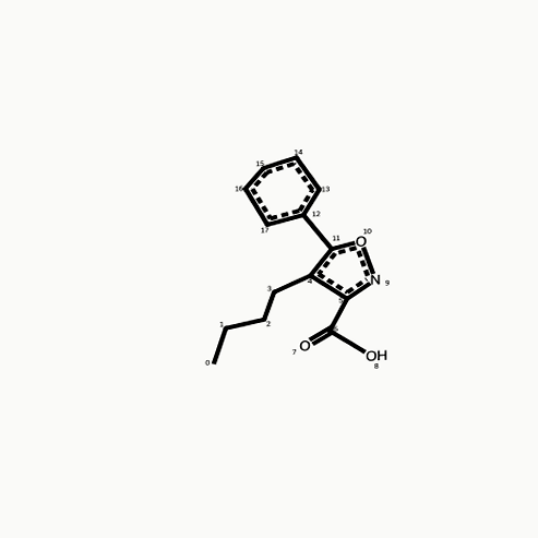 CCCCc1c(C(=O)O)noc1-c1ccccc1